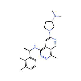 Cc1cccc([C@@H](C)Nc2nnc(C)c3cnc(N4CC[C@H](N(C)C)C4)cc23)c1C